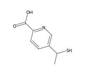 CC(S)c1ccc(C(=O)O)nc1